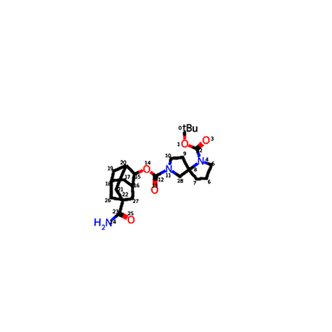 CC(C)(C)OC(=O)N1CCCC12CCN(C(=O)OC1C3CC4CC1CC(C(N)=O)(C4)C3)C2